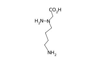 NCCCCN(N)CC(=O)O